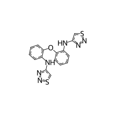 c1ccc(Oc2ccccc2Nc2csnn2)c(Nc2csnn2)c1